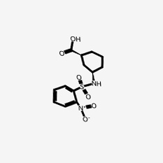 O=C(O)[C@H]1CCC[C@@H](NS(=O)(=O)c2ccccc2[N+](=O)[O-])C1